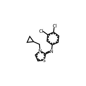 Clc1ccc(N=c2sccn2CC2CC2)cc1Cl